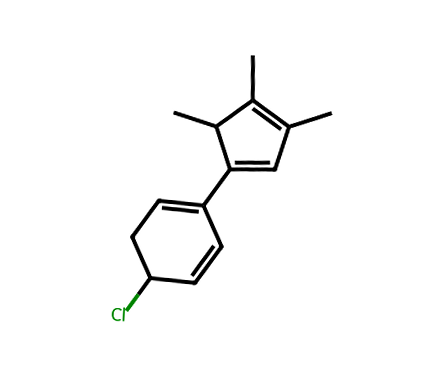 CC1=C(C)C(C)C(C2=CCC(Cl)C=C2)=C1